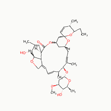 CCC1O[C@]2(C=C[C@@H]1C)C[C@@H]1C[C@@H](C/C=C(\C)[C@@H](O[C@H]3C[C@H](OC)[C@@H](O)[C@H](C)O3)[C@@H](C)/C=C/C=C3\CO[C@H]4C3[C@@H](C=C(C)[C@H]4O)C(=O)O1)O2